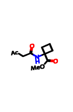 COC(=O)C1(NC(=O)CC(C)=O)CCC1